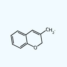 [CH2]C1=Cc2ccccc2OC1